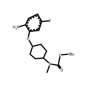 CN(C(=O)OC(C)(C)C)C1CCC(Oc2cc(F)ccc2N)CC1